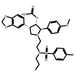 CCCN(CCN1C[C@H](c2ccc3c(c2)OCO3)[C@H](OC(=O)O)[C@H]1c1ccc(OC)cc1)S(=O)(=O)c1ccc(F)cc1